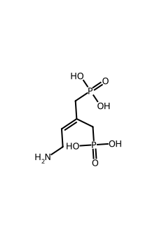 NCC=C(CP(=O)(O)O)CP(=O)(O)O